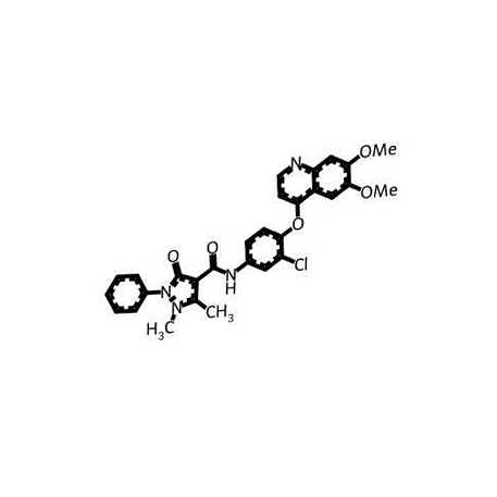 COc1cc2nccc(Oc3ccc(NC(=O)c4c(C)n(C)n(-c5ccccc5)c4=O)cc3Cl)c2cc1OC